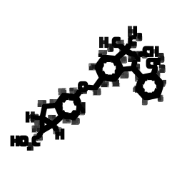 CN1C(c2ccccc2C(F)(F)F)c2cc(COc3cc4c(cn3)[C@H]3[C@@H](C4)[C@@H]3C(=O)O)ccc2C1(C)C